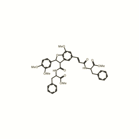 COC(=O)C(Cc1ccccc1)NC(=O)C=Cc1cc(OC)c2c(c1)C(C(=O)NC(Cc1ccccc1)C(=O)OC)C(c1ccc(OC)c(OC)c1)O2